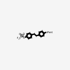 CCCCCc1ccc(CCc2ccc(OS(=O)(=O)C(F)(F)F)cc2)cc1